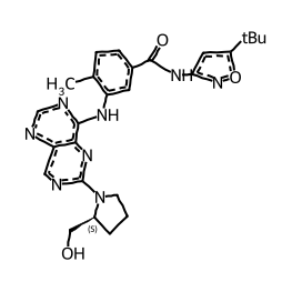 Cc1ccc(C(=O)Nc2cc(C(C)(C)C)on2)cc1Nc1ncnc2cnc(N3CCC[C@H]3CO)nc12